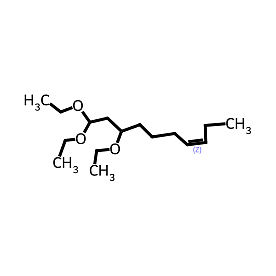 CC/C=C\CCCC(CC(OCC)OCC)OCC